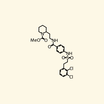 COC(=O)N1CCCCC1CCNC(=O)c1ccc(NS(=O)(=O)CCc2cccc(Cl)c2Cl)cc1